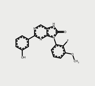 COc1cccc(-n2c(=O)[nH]c3cnc(-c4cccc(O)c4)nc32)c1F